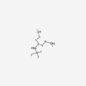 CC(C)(C)NC(CCO)CCO